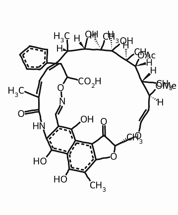 CO[C@H]1/C=C/O[C@@]2(C)Oc3c(C)c(O)c4c(O)c(c(/C=N/OC(Cc5ccccc5)C(=O)O)c(O)c4c3C2=O)NC(=O)/C(C)=C\C=C\[C@H](C)[C@H](O)[C@@H](C)[C@@H](O)[C@@H](C)[C@H](OC(C)=O)[C@@H]1C